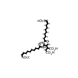 CCCCCCCC/C=C\CCCCCCCC(=O)NC(NC(=O)CCCCCCC/C=C\CCCCCCCC)C(C)C(CC(=O)O)C(=O)O